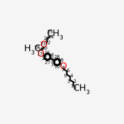 CCCCCCCCOc1ccc(-c2ccc(OC(C)COCCCC)cc2)cc1